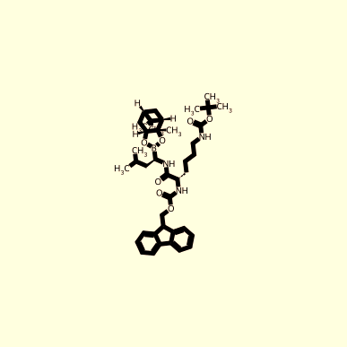 CC(C)C[C@H](NC(=O)[C@H](CCCCNC(=O)OC(C)(C)C)NC(=O)OCC1c2ccccc2-c2ccccc21)B1O[C@@H]2C[C@@H]3C[C@@H](C3(C)C)[C@]2(C)O1